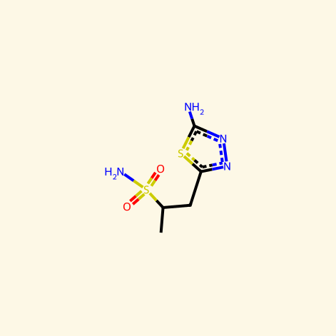 CC(Cc1nnc(N)s1)S(N)(=O)=O